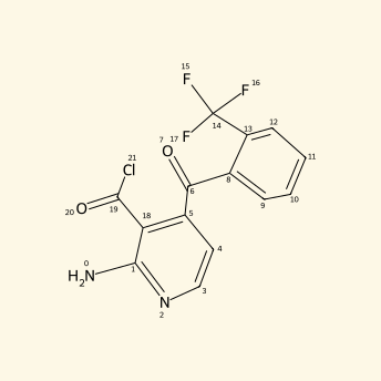 Nc1nccc(C(=O)c2ccccc2C(F)(F)F)c1C(=O)Cl